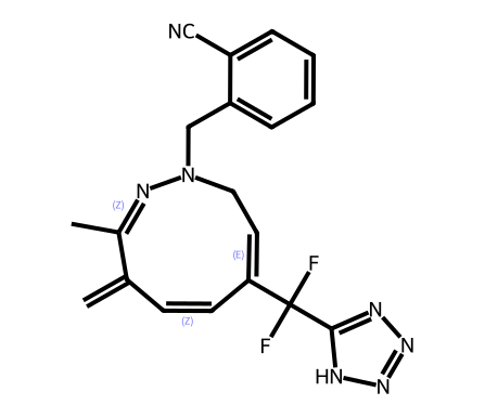 C=C1/C=C\C(C(F)(F)c2nnn[nH]2)=C/CN(Cc2ccccc2C#N)/N=C\1C